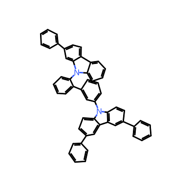 c1ccc(-c2ccc3c(c2)c2cc(-c4ccccc4)ccc2n3-c2cccc(-c3ccccc3-n3c4ccccc4c4ccc(-c5ccccc5)cc43)c2)cc1